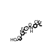 C=CC(F)(CC)c1ccc(NC(=O)N2CCC(F)(c3ncc(-c4ccc(CO)o4)cc3C)CC2)cc1Cl